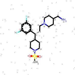 CS(=O)(=O)N1CCC([C@@H](CCN2CCC(CN)CC2)c2cc(F)cc(F)c2)CC1